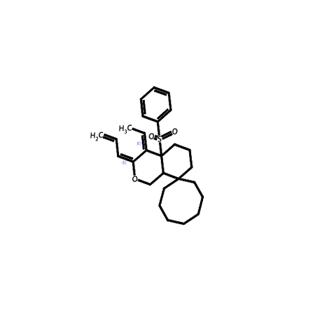 C=C/C=C1/OCC2C3(CCCCCCC3)CCCC2(S(=O)(=O)c2ccccc2)/C1=C/C